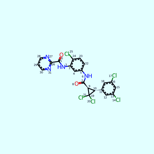 O=C(Nc1cc(NC(=O)[C@H]2[C@H](c3cc(Cl)cc(Cl)c3)C2(Cl)Cl)ccc1Cl)c1ncccn1